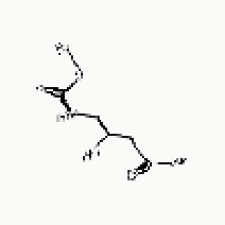 COC(=O)CC(O)CNC(=O)OC(C)(C)C